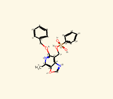 Cc1nc(OCc2ccccc2)c(COS(=O)(=O)c2ccccc2)c2ncoc12